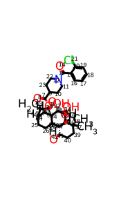 C=C1C(=O)[C@]23[C@H](OC(=O)C4CCN(C(=O)c5ccccc5Cl)CC4)[C@H]1CC[C@H]2[C@@]12CO[C@@]3(O)[C@@H](O)[C@@H]1C(C)(C)CCC2=O